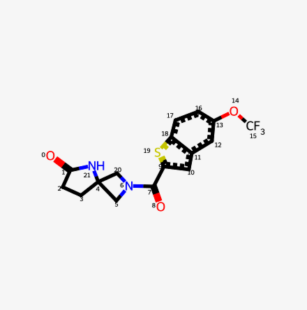 O=C1CCC2(CN(C(=O)c3cc4cc(OC(F)(F)F)ccc4s3)C2)N1